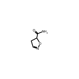 NC(=O)C1CC=NO1